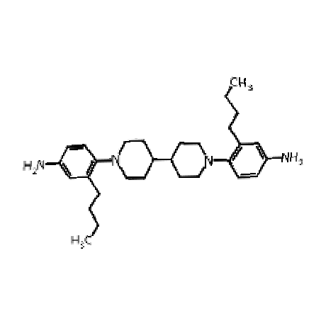 CCCCc1cc(N)ccc1N1CCC(C2CCN(c3ccc(N)cc3CCCC)CC2)CC1